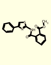 COC(=O)c1ccccc1C(=O)Nc1nc(-c2ccccc2)cs1